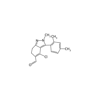 Cc1ccc(-c2c3c(nn2C)CCC(C=O)=C3Cl)c(C)c1